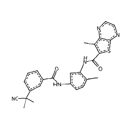 Cc1ccc(NC(=O)c2cccc(C(C)(C)C#N)c2)cc1NC(=O)c1sc2nccnc2c1C